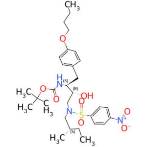 CCCCOc1ccc(C[C@H](NC(=O)OC(C)(C)C)[C@H](O)CN(C[C@@H](C)CC)S(=O)(=O)c2ccc([N+](=O)[O-])cc2)cc1